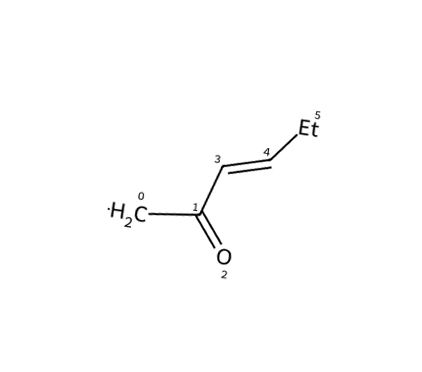 [CH2]C(=O)C=CCC